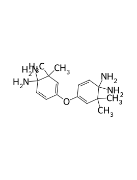 CC1(C)C=C(OC2=CC(C)(C)C(N)(N)C=C2)C=CC1(N)N